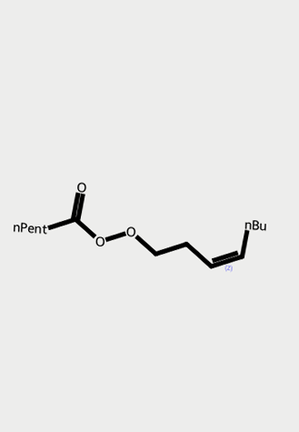 CCCC/C=C\CCOOC(=O)CCCCC